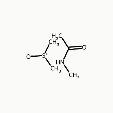 CNC(C)=O.C[S+](C)[O-]